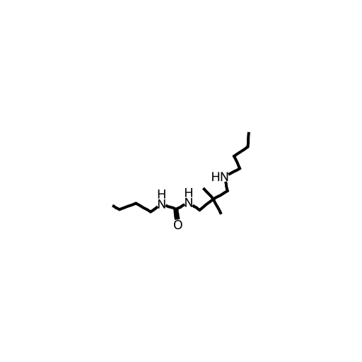 CCCCNCC(C)(C)CNC(=O)NCCCC